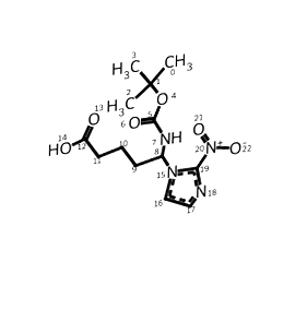 CC(C)(C)OC(=O)NC(CCCC(=O)O)n1ccnc1[N+](=O)[O-]